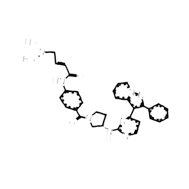 CN(C)C/C=C/C(=O)Nc1ccc(C(=O)N2CC[C@@H](Nc3nccc(-c4c(-c5ccccc5)nn5ccccc45)n3)C2)cc1